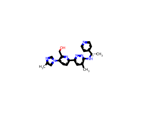 Cc1cn(-c2ccc(-c3cc(C)c(N[C@@H](C)c4ccncc4)nn3)nc2CO)cn1